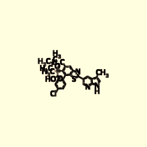 Cc1cc2nc(-c3cnc4[nH]cc(C)c4c3)sc2c(-c2ccc(Cl)cc2)c1[C@](C)(OC(C)(C)C)C(=O)O